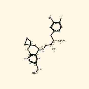 CC(=O)N[C@@H](Cc1ccc(F)c(Br)c1)[C@H](O)CN[C@H]1CC2(CCC2)Oc2ncc(OC(C)(C)C)cc21